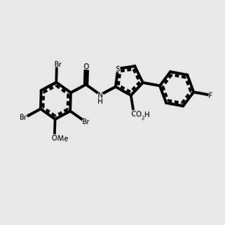 COc1c(Br)cc(Br)c(C(=O)Nc2scc(-c3ccc(F)cc3)c2C(=O)O)c1Br